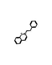 C1=CN(CCc2ccccc2)Sc2ccccc21